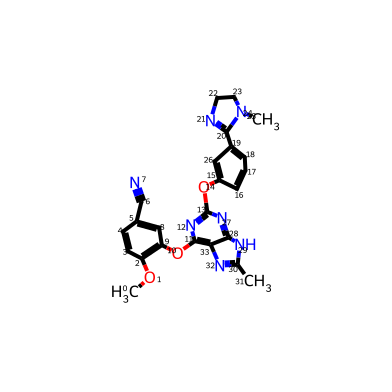 COc1ccc(C#N)cc1Oc1nc(Oc2cccc(C3=NCCN3C)c2)nc2[nH]c(C)nc12